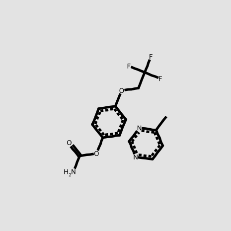 Cc1ccncn1.NC(=O)Oc1ccc(OCC(F)(F)F)cc1